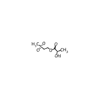 CC(O)C(=O)OCCS(C)(=O)=O